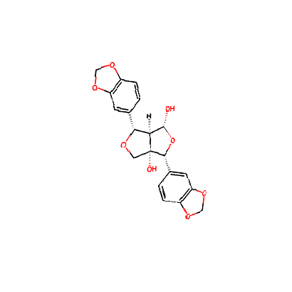 O[C@@H]1O[C@H](c2ccc3c(c2)OCO3)[C@@]2(O)CO[C@H](c3ccc4c(c3)OCO4)[C@@H]12